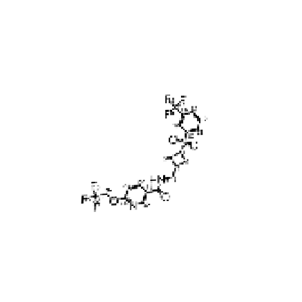 O=C(NCC1CC(S(=O)(=O)c2cccc(C(F)(F)F)c2)C1)c1ccc(OCC(F)(F)F)nc1